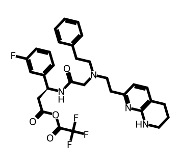 O=C(CN(CCc1ccccc1)CCc1ccc2c(n1)NCCC2)N[C@@H](CC(=O)OC(=O)C(F)(F)F)c1cccc(F)c1